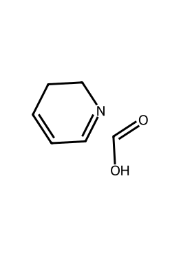 C1=CCCN=C1.O=CO